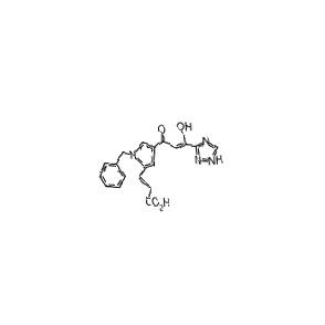 O=C(O)C=Cc1cc(C(=O)C=C(O)c2nc[nH]n2)cn1Cc1ccccc1